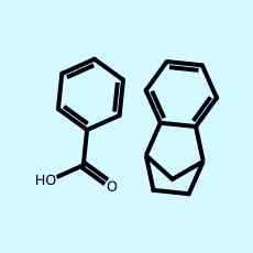 O=C(O)c1ccccc1.c1ccc2c(c1)C1CCC2C1